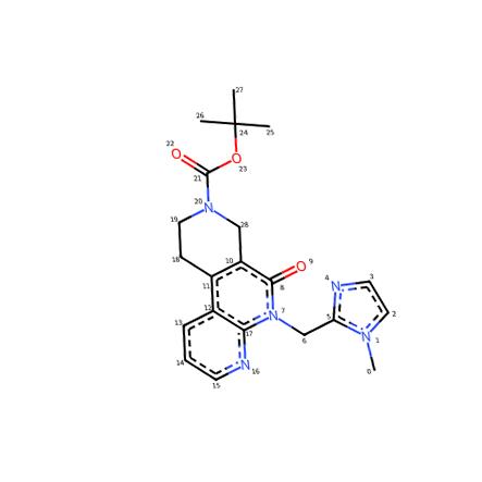 Cn1ccnc1Cn1c(=O)c2c(c3cccnc31)CCN(C(=O)OC(C)(C)C)C2